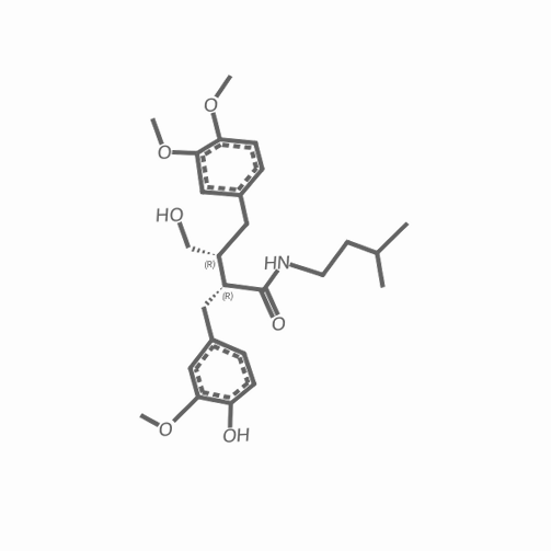 COc1cc(C[C@@H](C(=O)NCCC(C)C)[C@H](CO)Cc2ccc(OC)c(OC)c2)ccc1O